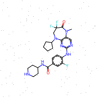 CN1C(=O)C(F)(F)CN(C2CCCC2)c2nc(Nc3ccc(C(=O)NC4CCNCC4)cc3F)ncc21